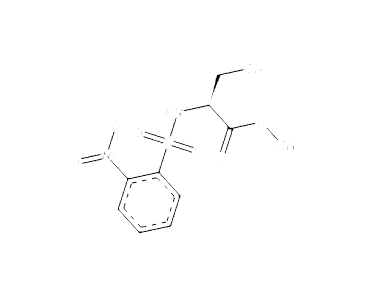 COC(=O)[C@H](CO)NS(=O)(=O)c1ccccc1[N+](=O)[O-]